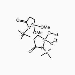 CCO[Si]1(OCC)CCC(=O)N1[Si](C)(C)C.CO[Si]1(OC)CCC(=O)N1[Si](C)(C)C